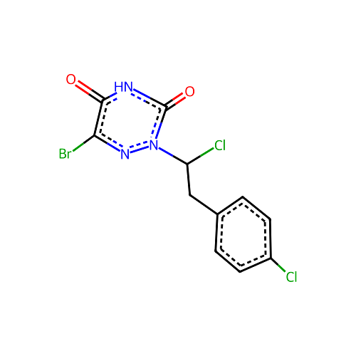 O=c1[nH]c(=O)n(C(Cl)Cc2ccc(Cl)cc2)nc1Br